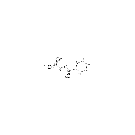 O=C(O)C=CC(=O)C1CCCCC1